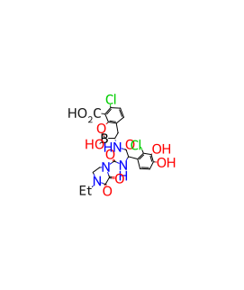 CCN1CCN(C(=O)NC(C(=O)N[C@H]2Cc3ccc(Cl)c(C(=O)O)c3OB2O)c2ccc(O)c(O)c2Cl)C(=O)C1=O